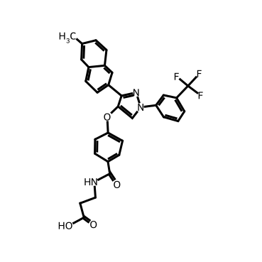 Cc1ccc2cc(-c3nn(-c4cccc(C(F)(F)F)c4)cc3Oc3ccc(C(=O)NCCC(=O)O)cc3)ccc2c1